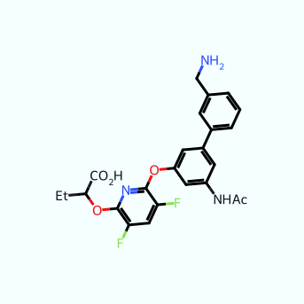 CCC(Oc1nc(Oc2cc(NC(C)=O)cc(-c3cccc(CN)c3)c2)c(F)cc1F)C(=O)O